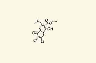 CCOC(=O)c1c(O)c2cc(Cl)c(Cl)c(=O)c-2cn1CC(C)C